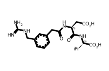 CC(C)[C@H](NC(=O)[C@H](CC(=O)O)NC(=O)Cc1cccc(CNC(=N)N)c1)C(=O)O